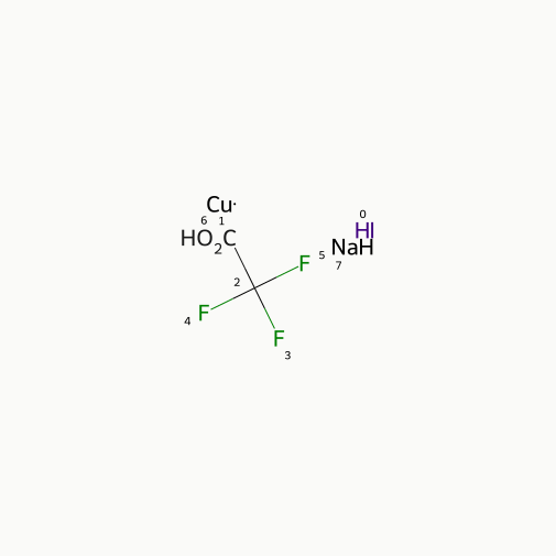 I.O=C(O)C(F)(F)F.[Cu].[NaH]